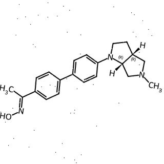 CC(=NO)c1ccc(-c2ccc(N3CC[C@@H]4CN(C)C[C@@H]43)cc2)cc1